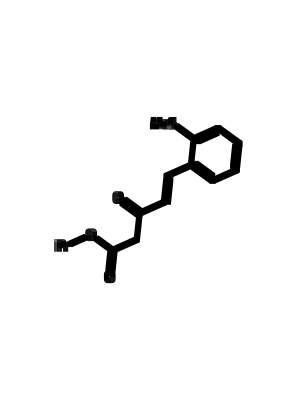 CSc1ccccc1C=CC(=O)CC(=O)OC(C)C